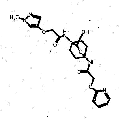 Cn1cc(OCC(=O)NC23CCC(NC(=O)COc4ccccn4)(CC2)CC3O)cn1